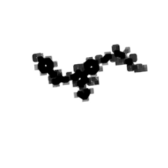 C[C@H](NC(=O)OC(C)(C)C)C(=O)OCCOc1ccc(-c2c(C#N)c(SCc3csc(-c4ccc(Cl)cc4)n3)nc(N3CCC3)c2C#N)cc1